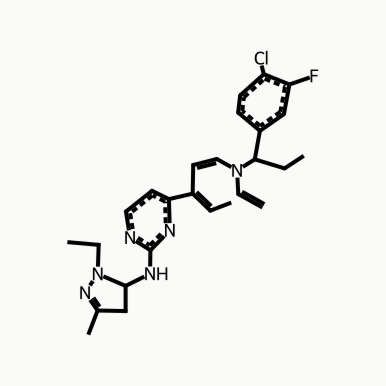 C=CN(/C=C\C(=C/C)c1ccnc(NC2CC(C)=NN2CC)n1)C(CC)c1ccc(Cl)c(F)c1